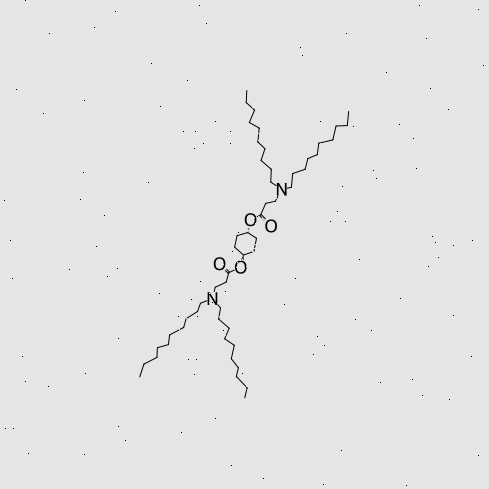 CCCCCCCCCCN(CCCCCCCCCC)CCC(=O)O[C@H]1CC[C@H](OC(=O)CCN(CCCCCCCCCC)CCCCCCCCCC)CC1